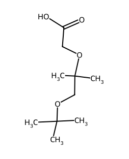 CC(C)(C)OCC(C)(C)OCC(=O)O